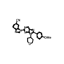 COc1ccc(-c2nc3cnc(-n4cnc5ccc(C#N)cc54)nc3n2C2CCOCC2)cc1